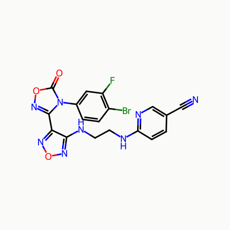 N#Cc1ccc(NCCNc2nonc2-c2noc(=O)n2-c2ccc(Br)c(F)c2)nc1